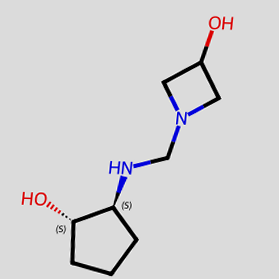 OC1CN(CN[C@H]2CCC[C@@H]2O)C1